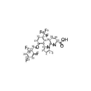 Cc1ccc(-c2cc(C(F)(F)F)ccc2OCc2c(F)cc(F)cc2F)n1-c1cccc(C(=O)O)n1